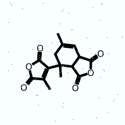 CC1=CC2C(=O)OC(=O)C2C(C)(C2=C(C)C(=O)OC2=O)C1